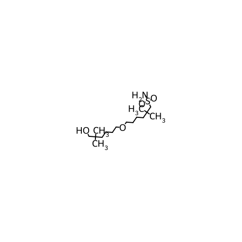 CC(C)(CO)CCCCOCCCCC(C)(C)CS(N)(=O)=O